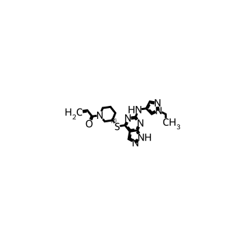 C=CC(=O)N1CCC[C@@H](Sc2nc(Nc3cnn(CC)c3)nc3[nH]ncc23)C1